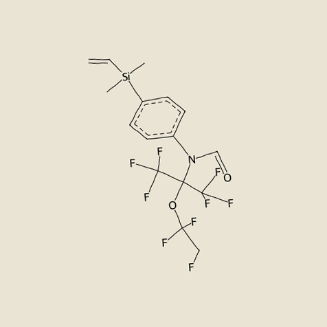 C=C[Si](C)(C)c1ccc(N(C=O)C(OC(F)(F)CF)(C(F)(F)F)C(F)(F)F)cc1